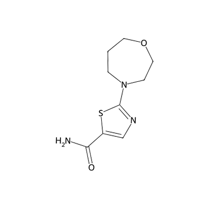 NC(=O)c1cnc(N2CCCOCC2)s1